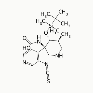 C[C@H]1CNC[C@](NC(=O)O)(c2ccncc2N=C=S)[C@@H]1O[Si](C)(C)C(C)(C)C